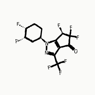 O=C1c2c(C(F)(F)F)nn([C@@H]3CC[C@@H](F)[C@@H](F)C3)c2[C@@H](F)C1(F)F